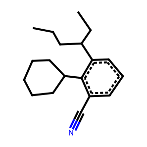 CCCC(CC)c1cccc(C#N)c1C1CCCCC1